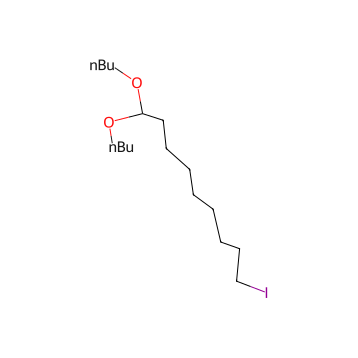 CCCCOC(CCCCCCCCI)OCCCC